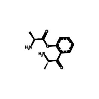 C[C@H](N)C(=O)Oc1ccccc1C(=O)[C@H](C)N